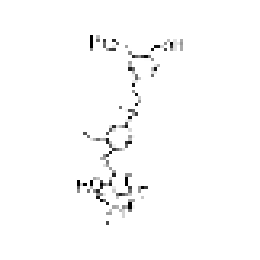 CCc1cc(C(C)(C)CCc2ccc(CO)c(CO)c2)ccc1SCC(O)C(C(F)(F)F)C(F)(F)F